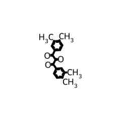 Cc1ccc(C(=O)C(=O)C(=O)c2ccc(C)c(C)c2)cc1C